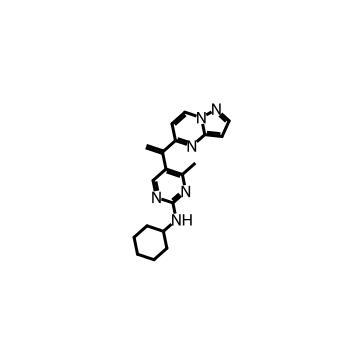 C=C(c1ccn2nccc2n1)c1cnc(NC2CCCCC2)nc1C